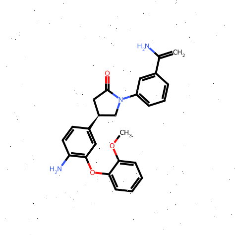 C=C(N)c1cccc(N2C[C@@H](c3ccc(N)c(Oc4ccccc4OC)c3)CC2=O)c1